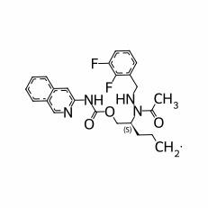 [CH2]CC[C@@H](COC(=O)Nc1cc2ccccc2cn1)N(NCc1cccc(F)c1F)C(C)=O